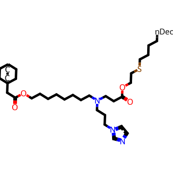 CCCCCCCCCCCCCCSCCOC(=O)CCN(CCCCCCCCOC(=O)CC12CCC(CC1)CC2)CCCn1ccnc1